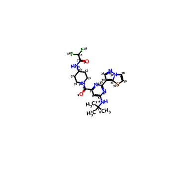 CC(C)(C)Nc1cc(C(=O)N2CCC(NC(=O)C(F)F)CC2)nc(-c2cnn3ccsc23)n1